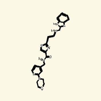 O=C(NCc1ccnc(N2CCOCC2)c1)c1csc(CCNCc2nc3ccccc3[nH]2)n1